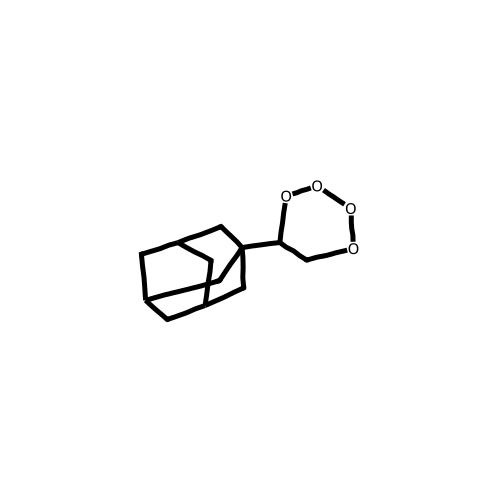 C1C2CC3CC1CC(C1COOOO1)(C2)C3